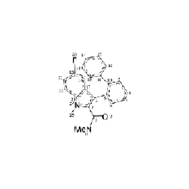 CNC(=O)c1c(-c2ccccc2-c2ccccc2)c2cc(F)ccc2n1C